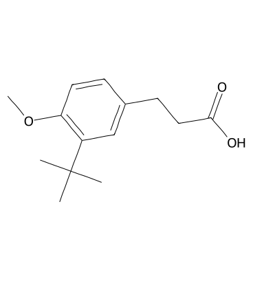 COc1ccc(CCC(=O)O)cc1C(C)(C)C